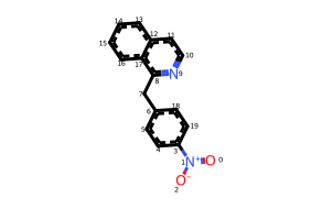 O=[N+]([O-])c1ccc(Cc2nccc3ccccc23)cc1